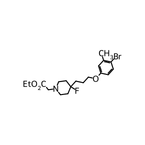 CCOC(=O)CN1CCC(F)(CCCOc2ccc(Br)c(C)c2)CC1